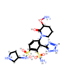 NOC1CCCN(c2ccc(S(=O)(=O)NC3CCNC3)c(S(N)(=O)=O)c2-c2nn[nH]n2)C1=O